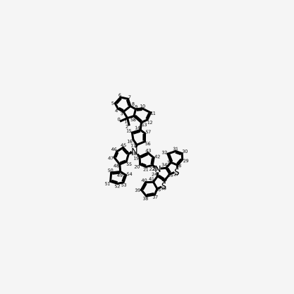 CC1(C)c2ccccc2-c2cccc(C3=CCC(N(c4ccc(-n5c6c(c7sc8ccccc8c75)SC5C=CC=CC65)cc4)c4cccc(-c5ccccc5)c4)C=C3)c21